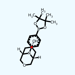 CC1(C)OB(c2ccc(N3[C@@H]4COC[C@H]3C[C@@H](O)C4)cc2)OC1(C)C